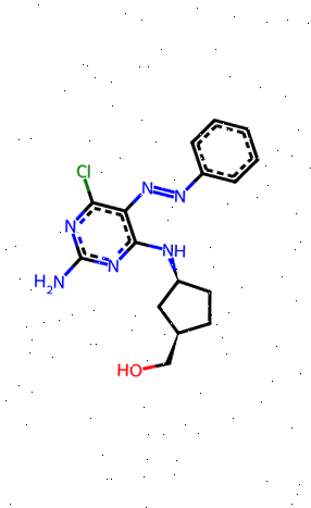 Nc1nc(Cl)c(/N=N/c2ccccc2)c(N[C@H]2CC[C@@H](CO)C2)n1